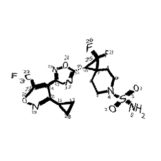 NS(=O)(=O)N1CCC2(CC1)[C@H](c1nc(-c3c(C4CC4)noc3C(F)(F)F)no1)C2(F)F